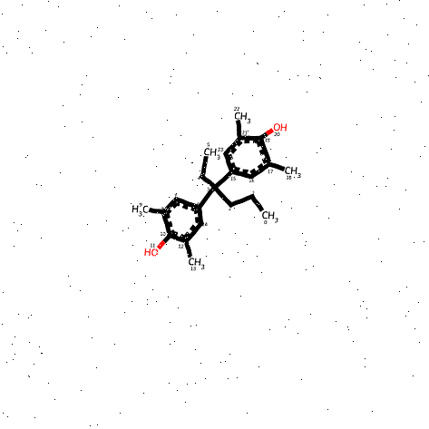 CCCC(CC)(c1cc(C)c(O)c(C)c1)c1cc(C)c(O)c(C)c1